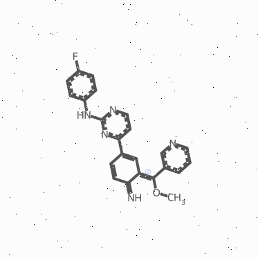 CO/C(=C1/C=C(c2ccnc(Nc3ccc(F)cc3)n2)C=CC1=N)c1cccnc1